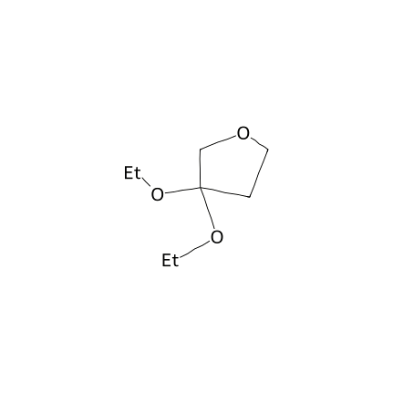 CCOC1(OCC)CCOC1